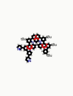 CC(C)(C)c1cc(-c2ccccc2)c(N2c3cc(-n4c5ccc(-c6cccnc6)cc5c5cc(-c6cccnc6)ccc54)ccc3B3c4ccc(-n5c6ccc(C(C)(C)C)cc6c6cc(C(C)(C)C)ccc65)cc4N(c4c(-c5ccccc5)cc(C(C)(C)C)cc4-c4ccccc4)c4cccc2c43)c(-c2ccccc2)c1